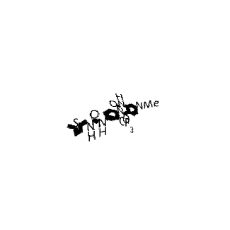 CNc1ccc2c(=O)n(-c3ccc(NC(=O)NCc4ccc(C)s4)cc3C(F)(F)F)c(=O)[nH]c2c1